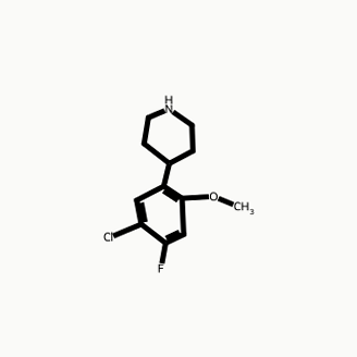 COc1cc(F)c(Cl)cc1C1CCNCC1